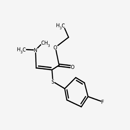 CCOC(=O)C(=CN(C)C)Sc1ccc(F)cc1